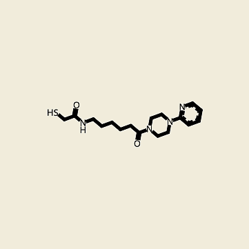 O=C(CS)NCCCCCC(=O)N1CCN(c2ccccn2)CC1